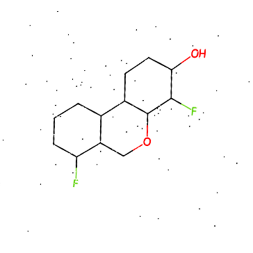 OC1CCC2C3CCCC(F)C3COC2C1F